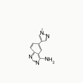 Cn1cc(-c2ccc3ncnc(N)c3c2)cn1